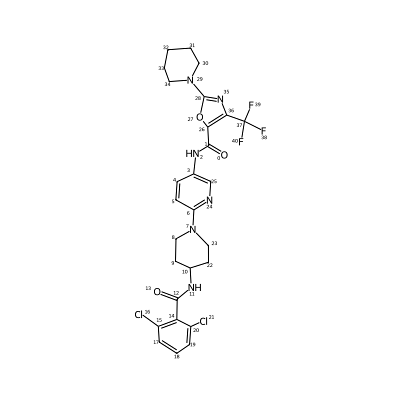 O=C(Nc1ccc(N2CCC(NC(=O)c3c(Cl)cccc3Cl)CC2)nc1)c1oc(N2CCCCC2)nc1C(F)(F)F